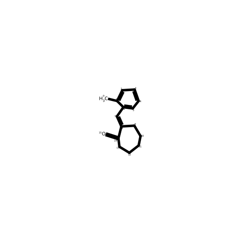 Cc1ccccc1/C=C1\CCCCCC1=O